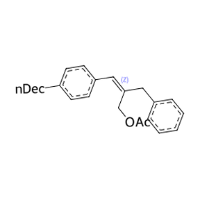 CCCCCCCCCCc1ccc(/C=C(\COC(C)=O)Cc2ccccc2)cc1